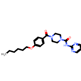 CCCCCCOc1ccc(C(=O)N2CCN(C(=O)Nc3ncccn3)CC2)cc1